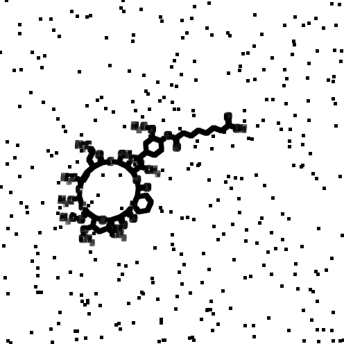 C=CCC1C=C(C)CC(C)CC(OC)C2OC(O)(C(=O)C(=O)N3CCCCC3C(=O)OC(C(C)=CC3CCC(OC(=O)CCCCCCC(=O)O)C(OC)C3)C(C)C(O)CC1=O)C(C)CC2OC